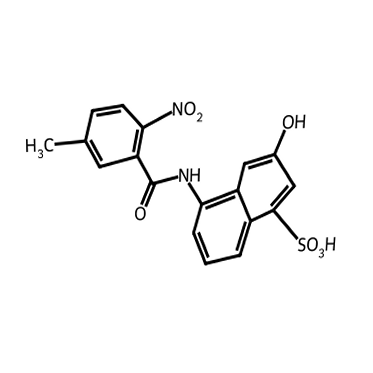 Cc1ccc([N+](=O)[O-])c(C(=O)Nc2cccc3c(S(=O)(=O)O)cc(O)cc23)c1